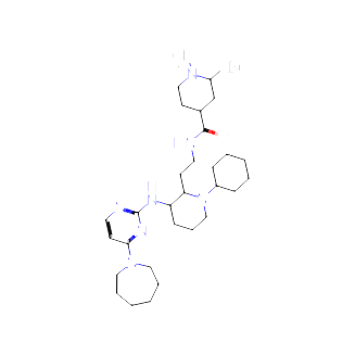 CC(C)(C)C1CC(C(=O)NCCC2C(Nc3nccc(N4CCCCCC4)n3)CCCN2C2CCCCC2)CCN1C(=O)O